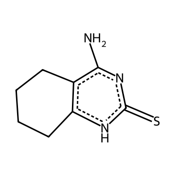 Nc1nc(=S)[nH]c2c1CCCC2